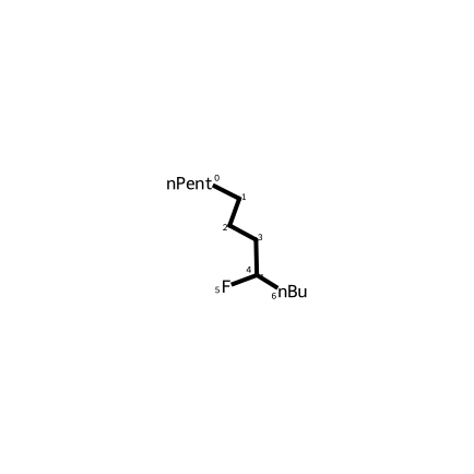 CCCCCCCC[C](F)CCCC